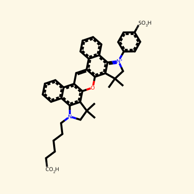 CC1(C)CN(CCCCCC(=O)O)c2c1c1c(c3ccccc23)C=c2c(c3c(c4ccccc24)=[N+](c2ccc(S(=O)(=O)O)cc2)CC3(C)C)O1